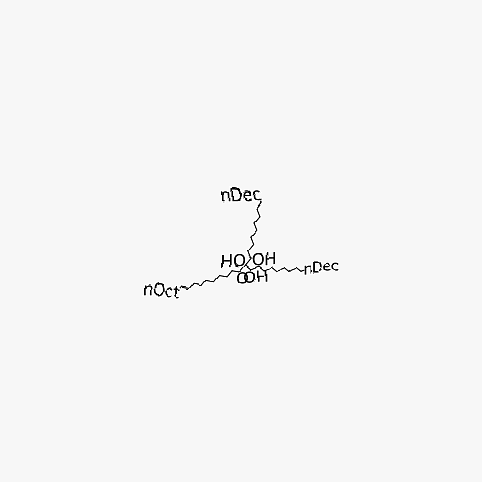 CCCCCCCCC=CCCCCCCCC(=O)C(O)(C(O)CCCCCCCCCCCCCCCCCC)C(O)CCCCCCCCCCCCCCCCCC